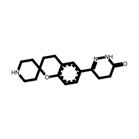 O=C1CCC(c2ccc3c(c2)CCC2(CCNCC2)O3)=NN1